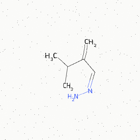 C=C(/C=N\N)C(C)C